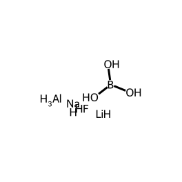 F.OB(O)O.[AlH3].[LiH].[NaH]